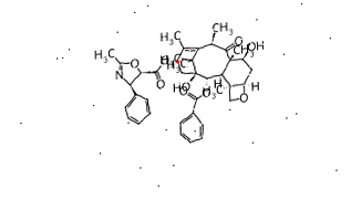 CC1=N[C@H](c2ccccc2)[C@H](C(=O)O[C@H]2C[C@@]3(O)[C@@H](OC(=O)c4ccccc4)[C@@H]4[C@]5(C)CO[C@@H]5C[C@H](O)[C@@]4(C)C(=O)[C@H](C)C(=C2C)C3(C)C)O1